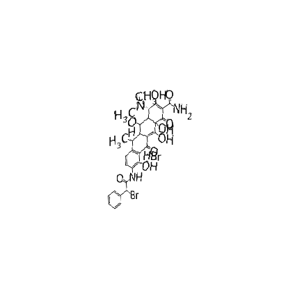 Br.CC1c2ccc(NC(=O)C(Br)c3ccccc3)c(O)c2C(=O)C2=C(O)C3(O)C(=O)C(C(N)=O)=C(O)[C@@H](N(C)C)C3C(O)C21